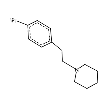 CC(C)c1ccc(CCN2CCCCC2)cc1